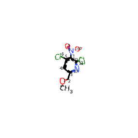 COCc1cc(Cl)c([N+](=O)[O-])c(Cl)n1